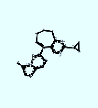 Cc1cnc2ccc(C3=CCCCc4nc(C5CC5)ncc43)nn12